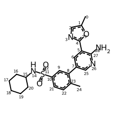 Cc1cnc(-c2cc(-c3cc(S(=O)(=O)NC4CCCCC4)ccc3C)cnc2N)o1